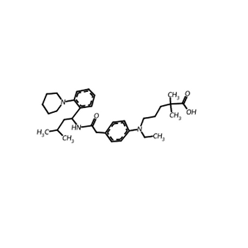 CCN(CCCC(C)(C)C(=O)O)c1ccc(CC(=O)NC(CC(C)C)c2ccccc2N2CCCCC2)cc1